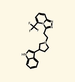 FC(F)(F)c1cccc2nnc(CCN3CCC(c4c[nH]c5ccccc45)C3)n12